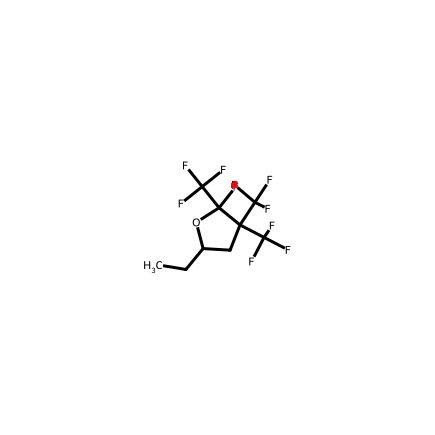 CCC1CC(C(F)(F)F)(C(F)(F)F)C(F)(C(F)(F)F)O1